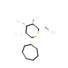 OC[C@@H]1S[C@H](C2C[CH]CCCC2)[C@H](O)[C@@H](O)[C@H]1O